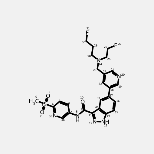 CS(=O)(=O)c1ccc(NC(=O)c2n[nH]c3ccc(-c4cncc(CN(CCF)CCCF)c4)cc23)cn1